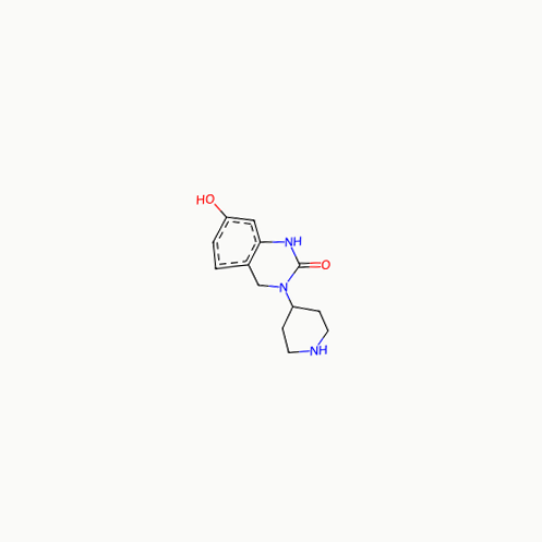 O=C1Nc2cc(O)ccc2CN1C1CCNCC1